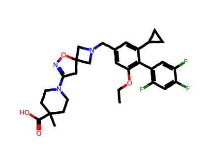 CCOc1cc(CN2CC3(CC(N4CCC(C)(C(=O)O)CC4)=NO3)C2)cc(C2CC2)c1-c1cc(F)c(F)cc1F